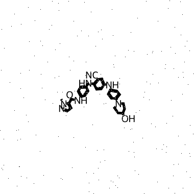 Cn1nccc1C(=O)Nc1ccc(Nc2ccc(Nc3ccc(N4CCC(O)CC4)cc3)cc2C#N)cc1